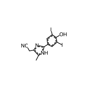 Cc1[nH]c(-c2cc(I)c(O)c(I)c2)nc1CC#N